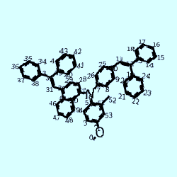 COc1ccc(N(c2ccc(C=C(c3ccccc3)c3ccccc3)cc2)c2ccc(C=C(c3ccccc3)c3ccccc3)c3ccccc23)c(C)c1